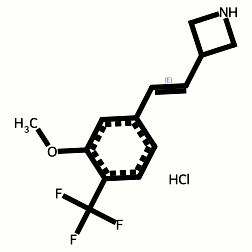 COc1cc(/C=C/C2CNC2)ccc1C(F)(F)F.Cl